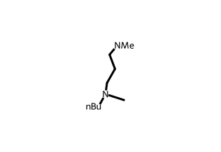 CCCCN(C)CCCNC